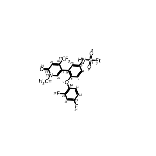 CCS(=O)(=O)Nc1ccc(Oc2ccc(F)cc2F)c(-c2cn(C)c(=O)cc2C(F)(F)F)c1